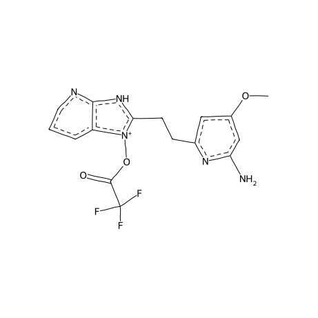 COc1cc(N)nc(CCc2[nH]c3ncccc3[n+]2OC(=O)C(F)(F)F)c1